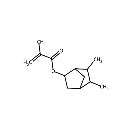 C=C(C)C(=O)OC1CC2CC1C(C)C2C